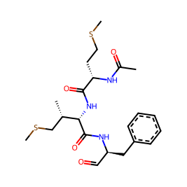 CSCC[C@H](NC(C)=O)C(=O)N[C@H](C(=O)N[C@H](C=O)Cc1ccccc1)[C@@H](C)CSC